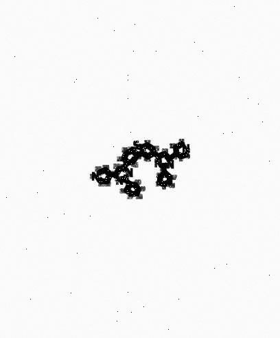 c1ccc(-c2nc(-c3ccncc3)cc(-c3ccc4sc5ccc(-c6cc(-c7ccncc7)nc(-c7ccccc7)n6)cc5c4c3)n2)cc1